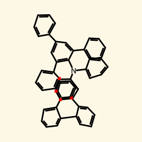 c1ccc(-c2cc(-c3ccccc3)c(N(c3ccccc3)c3ccc(-c4ccccc4-c4ccccc4-c4ccccc4)cc3)c(-c3ccccc3)c2)cc1